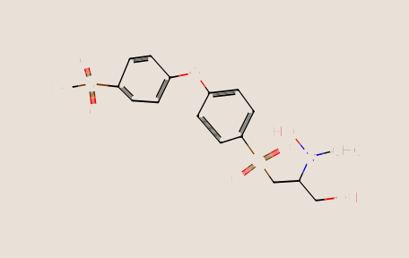 CS(=O)(=O)c1ccc(Oc2ccc(S(=O)(=O)CC(CO)N(O)C=O)cc2)cc1